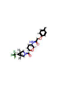 Cc1ccc(OCC(=O)N[C@@H]2CC[C@@H](C(=O)N3C[C@@H]4[C@H](C3)[C@H]4C(F)(F)F)OC2)cc1